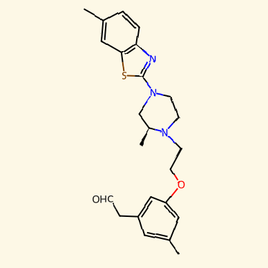 Cc1cc(CC=O)cc(OCCN2CCN(c3nc4ccc(C)cc4s3)C[C@@H]2C)c1